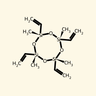 C=C[Si@]1(C)O[Si@](C)(C=C)O[Si@](C)(C=C)O[Si@](C)(C=C)O1